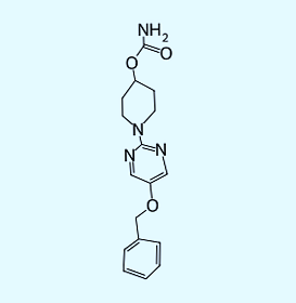 NC(=O)OC1CCN(c2ncc(OCc3ccccc3)cn2)CC1